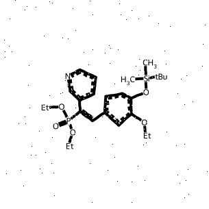 CCOc1cc(/C=C(\c2cccnc2)P(=O)(OCC)OCC)ccc1O[Si](C)(C)C(C)(C)C